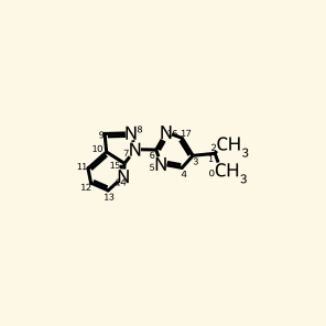 CC(C)c1cnc(-n2ncc3cccnc32)nc1